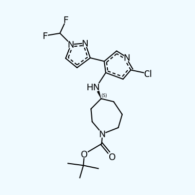 CC(C)(C)OC(=O)N1CCC[C@H](Nc2cc(Cl)ncc2-c2ccn(C(F)F)n2)CC1